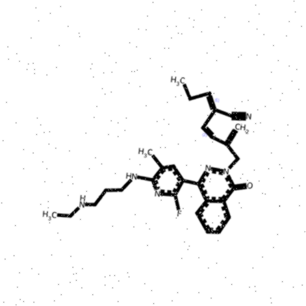 C=C(/C=C\C(C#N)=C/CC)Cn1nc(-c2cc(C)c(NCCCNCC)nc2F)c2ccccc2c1=O